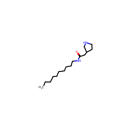 CCCCCCCCCCNC(=O)CC1CCNC1